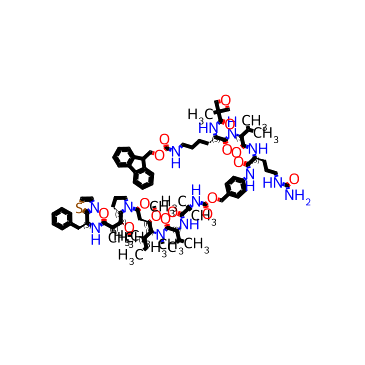 CC[C@H](C)[C@@H]([C@@H](CC(=O)N1CCC[C@H]1[C@H](OC)[C@@H](C)C(=O)N[C@@H](Cc1ccccc1)c1nccs1)OC)N(C)C(=O)[C@@H](NC(=O)C(C)(C)NC(=O)OCc1ccc(NC(=O)[C@H](CCCNC(N)=O)NC(=O)[C@@H](NC(=O)[C@H](CCCCNC(=O)OCC2c3ccccc3-c3ccccc32)NC(=O)C2(C)COC2)C(C)C)cc1)C(C)C